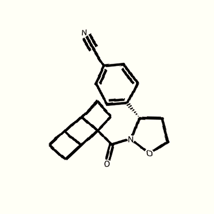 N#Cc1ccc([C@@H]2CCON2C(=O)C23C4C5C6C4C2C6C53)cc1